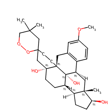 COc1ccc2c(c1)C[C@]13CCC4(CC(C)(C)COO4)C[C@]1(O)CC[C@H]1[C@@H]4CC[C@H](O)[C@@]4(C)C[C@H]2[C@@]13O